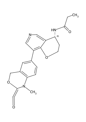 CCC(=O)N[C@@H]1CCOc2c(-c3ccc4c(c3)COC(=C=O)N4C)cncc21